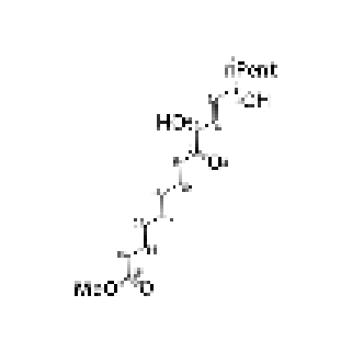 CCCCCC(O)C=CC(O)C(=O)CCCCCCCC(=O)OC